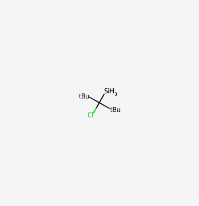 CC(C)(C)C([SiH3])(Cl)C(C)(C)C